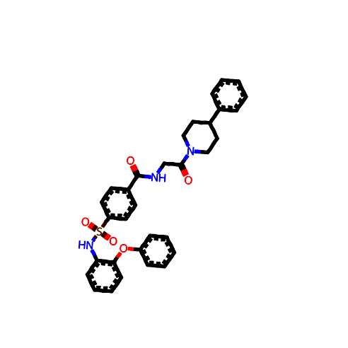 O=C(NCC(=O)N1CCC(c2ccccc2)CC1)c1ccc(S(=O)(=O)Nc2ccccc2Oc2ccccc2)cc1